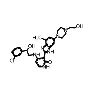 Cc1cc(N2CCN(CCO)CC2)cc2[nH]c(-c3c(NCC(O)c4cccc(Cl)c4)cc[nH]c3=O)nc12